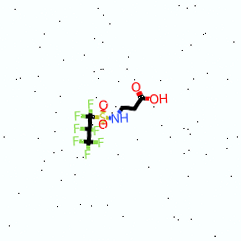 O=C(O)CCNS(=O)(=O)C(F)(F)C(F)(F)C(F)(F)F